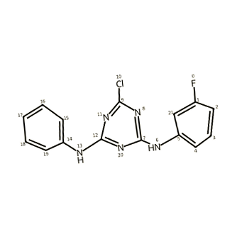 Fc1cccc(Nc2nc(Cl)nc(Nc3ccccc3)n2)c1